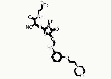 C=CCNC(=O)C(=C=c1sc(=C=CNc2cccc(OCCN3CCOCC3)c2)c(=O)n1CC)C#N